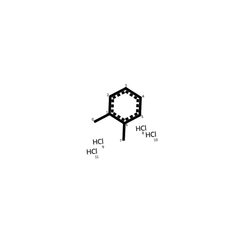 Cc1ccccc1C.Cl.Cl.Cl.Cl